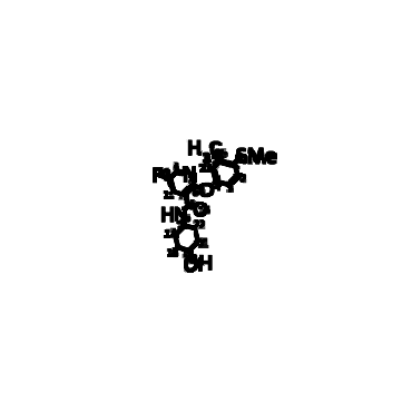 CSc1ccc(Oc2ncc(F)cc2C(=O)NC2CCC(O)CC2)cc1C